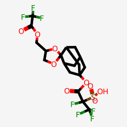 O=C(OCC1COC2(O1)C1CC3CC2CC(OC(=O)C(F)(C(F)(F)F)S(=O)(=O)O)(C3)C1)C(F)(F)F